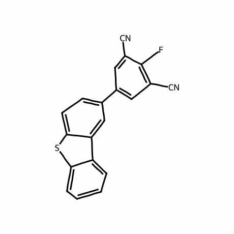 N#Cc1cc(-c2ccc3sc4ccccc4c3c2)cc(C#N)c1F